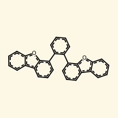 c1ccc(-c2cccc3c2oc2ccccc23)c(-c2cccc3c2oc2ccccc23)c1